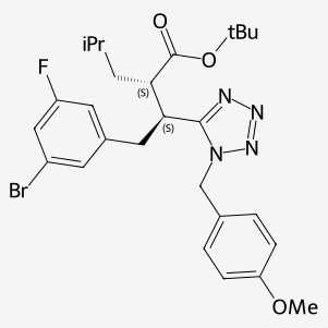 COc1ccc(Cn2nnnc2[C@@H](Cc2cc(F)cc(Br)c2)[C@H](CC(C)C)C(=O)OC(C)(C)C)cc1